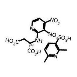 Cc1ccc(S(=O)(=O)O)c(C)n1.O=C(O)C[C@H](Nc1nccc([N+](=O)[O-])c1[N+](=O)[O-])C(=O)O